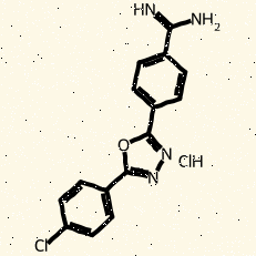 Cl.N=C(N)c1ccc(-c2nnc(-c3ccc(Cl)cc3)o2)cc1